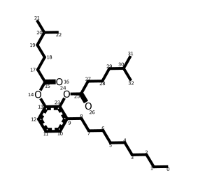 CCCCCCCCCc1cccc(OC(=O)CCCC(C)C)c1OC(=O)CCCC(C)C